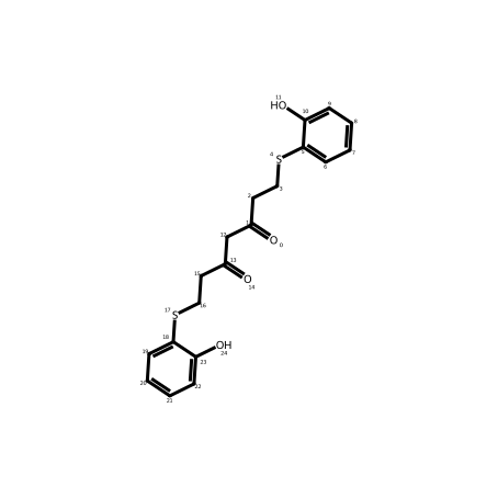 O=C(CCSc1ccccc1O)CC(=O)CCSc1ccccc1O